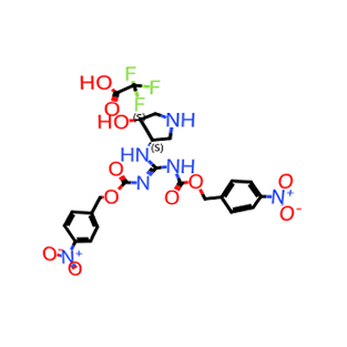 O=C(N=C(NC(=O)OCc1ccc([N+](=O)[O-])cc1)N[C@H]1CNC[C@@H]1O)OCc1ccc([N+](=O)[O-])cc1.O=C(O)C(F)(F)F